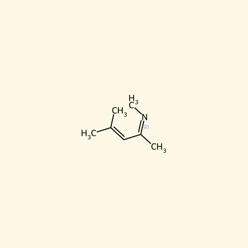 C/N=C(/C)C=C(C)C